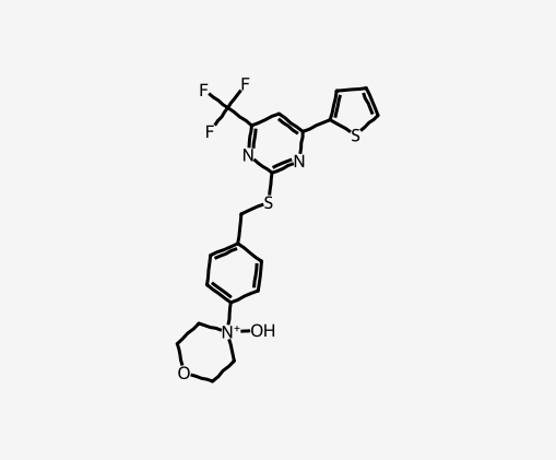 O[N+]1(c2ccc(CSc3nc(-c4cccs4)cc(C(F)(F)F)n3)cc2)CCOCC1